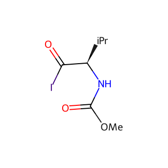 COC(=O)N[C@@H](C(=O)I)C(C)C